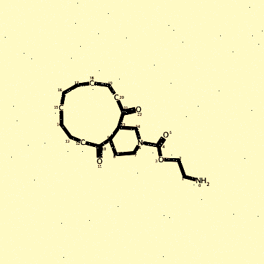 NCCOC(=O)N1CCC2C(=O)CCCCCCCCCC(=O)C2C1